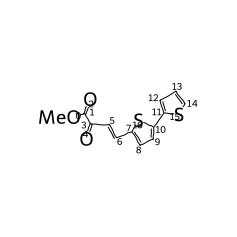 COC(=O)C(=O)/C=C/c1ccc(-c2cccs2)s1